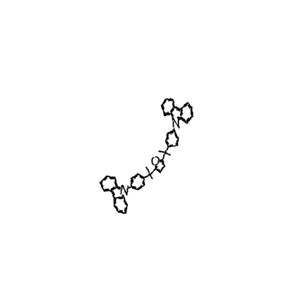 CC(C)(c1ccc(-n2c3ccccc3c3ccccc32)cc1)c1ccc(C(C)(C)c2ccc(-n3c4ccccc4c4ccccc43)cc2)o1